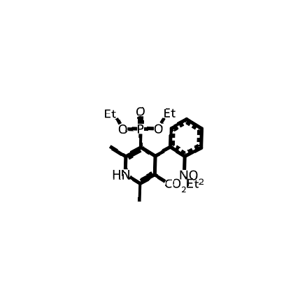 CCOC(=O)C1=C(C)NC(C)=C(P(=O)(OCC)OCC)C1c1ccccc1[N+](=O)[O-]